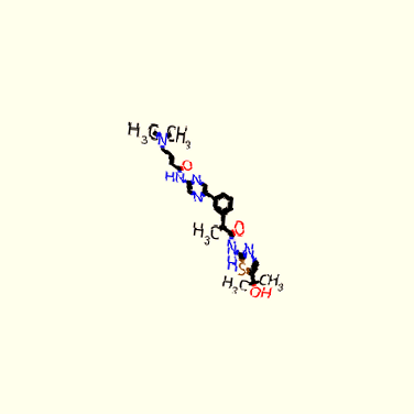 CC(C(=O)Nc1ncc(C(C)(C)O)s1)c1cccc(-c2cnc(NC(=O)/C=C/CN(C)C)cn2)c1